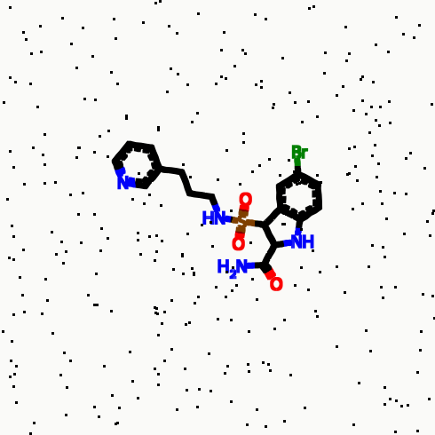 NC(=O)C1Nc2ccc(Br)cc2C1S(=O)(=O)NCCCc1cccnc1